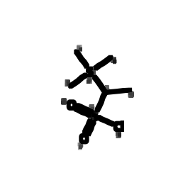 CC([Si](C)(C)C)S(=O)(=O)Cl